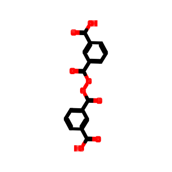 O=C(O)c1cccc(C(=O)OOC(=O)c2cccc(C(=O)O)c2)c1